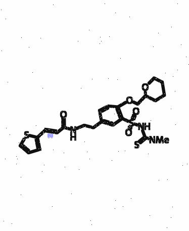 CNC(=S)NS(=O)(=O)c1cc(CCNC(=O)/C=C/c2cccs2)ccc1OCC1CCCCO1